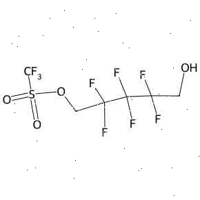 O=S(=O)(OCC(F)(F)C(F)(F)C(F)(F)CO)C(F)(F)F